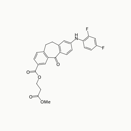 COC(=O)CCOC(=O)c1ccc2c(c1)C(=O)c1ccc(Nc3ccc(F)cc3F)cc1CC2